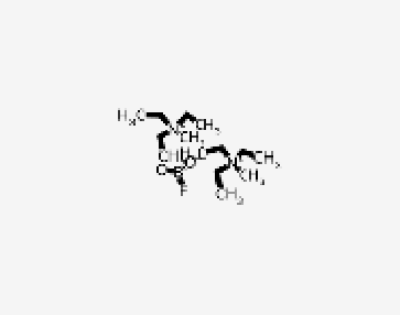 CC[N+](C)(CC)CC.CC[N+](C)(CC)CC.[O-]B([O-])F